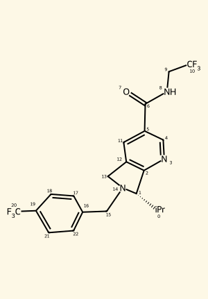 CC(C)[C@H]1c2ncc(C(=O)NCC(F)(F)F)cc2CN1Cc1ccc(C(F)(F)F)cc1